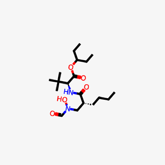 CCCC[C@H](CN(O)C=O)C(=O)N[C@H](C(=O)OC(CC)CC)C(C)(C)C